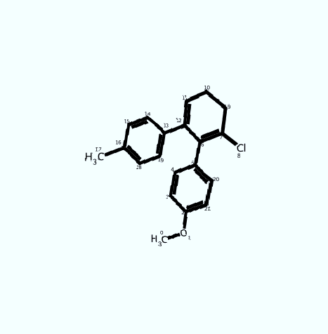 COc1ccc(C2=C(Cl)[CH]CC=C2c2ccc(C)cc2)cc1